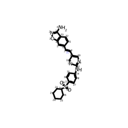 Nc1noc2cc(/C=C/c3cnc(Nc4ccc(S(=O)(=O)C5CCCCC5)cc4)nc3)ccc12